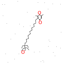 CCC(C=O)(CC)C(CC)(CC)CCCCCCCCCCCCCC1=C(C)C(=O)C(C)=CC1=O